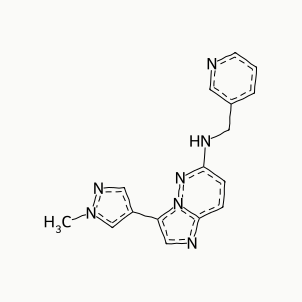 Cn1cc(-c2cnc3ccc(NCc4cccnc4)nn23)cn1